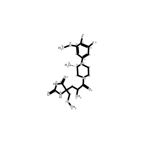 COCC1(CC(C)C(=O)N2CCN(c3cc(F)c(F)c(OC)c3)[C@@H](C)C2)NC(=O)NC1=O